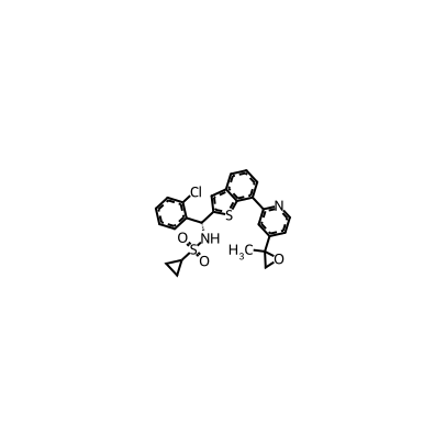 CC1(c2ccnc(-c3cccc4cc([C@H](NS(=O)(=O)C5CC5)c5ccccc5Cl)sc34)c2)CO1